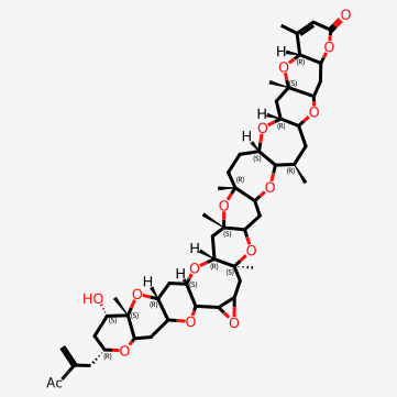 C=C(C[C@@H]1C[C@H](O)[C@]2(C)O[C@@H]3C[C@@H]4O[C@@H]5C[C@]6(C)O[C@]7(C)CC[C@@H]8O[C@@H]9C[C@]%10(C)O[C@@H]%11C(C)=CC(=O)OC%11CC%10OC9C[C@@H](C)C8OC7CC6O[C@@]5(C)CC5OC5C4OC3CC2O1)C(C)=O